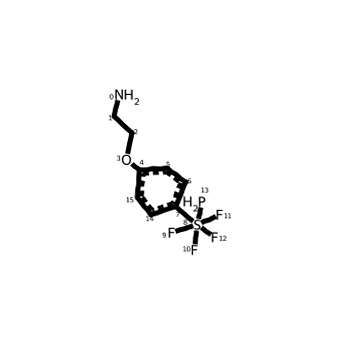 NCCOc1ccc(S(F)(F)(F)(F)P)cc1